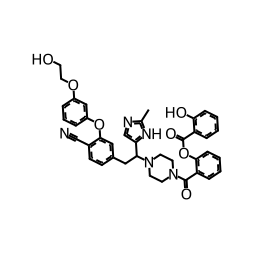 Cc1ncc(C(Cc2ccc(C#N)c(Oc3cccc(OCCO)c3)c2)N2CCN(C(=O)c3ccccc3OC(=O)c3ccccc3O)CC2)[nH]1